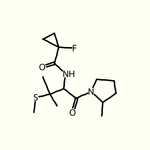 CSC(C)(C)C(NC(=O)C1(F)CC1)C(=O)N1CCCC1C